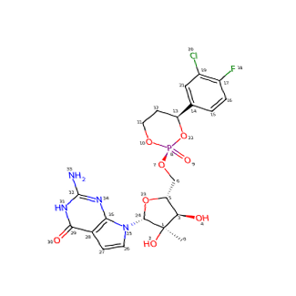 C[C@@]1(O)[C@H](O)[C@@H](CO[P@@]2(=O)OCC[C@@H](c3ccc(F)c(Cl)c3)O2)O[C@H]1n1ccc2c(=O)[nH]c(N)nc21